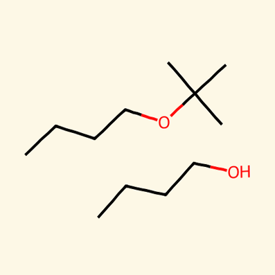 CCCCO.CCCCOC(C)(C)C